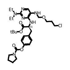 CCN(CC)c1ncc(NCOCCCCl)c(N[C@@H](Cc2ccc(OC(=O)N3CCCC3)cc2)C(=O)OC(C)(C)C)n1